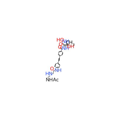 CC(=O)NCCNCC(=O)Nc1ccc(C#Cc2ccc(C(=O)N[C@H](C(=O)NO)[C@@H](C)O)cc2)cc1